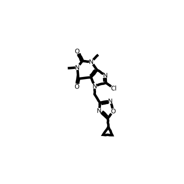 Cn1c(=O)c2c(nc(Cl)n2Cc2noc(C3CC3)n2)n(C)c1=O